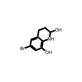 Oc1cc(Br)cc2c1NC(O)CC2